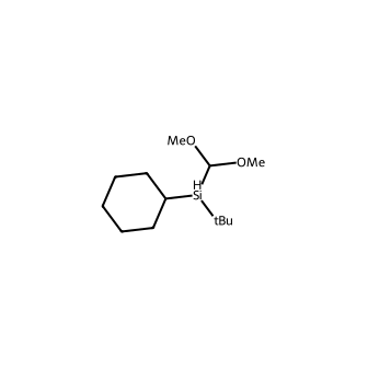 COC(OC)[SiH](C1CCCCC1)C(C)(C)C